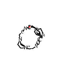 C1=[N+]2CCN1CCN1CCN3C=[N+](CC3)CCN(CC2)CC[N+]2=CN(CC1)CC2